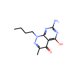 CCCCn1nc(C)c(=O)c2c(O)nc(N)nc21